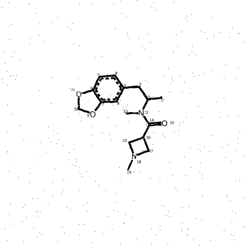 CC(Cc1ccc2c(c1)OCO2)N(C)C(=O)C1CN(C)C1